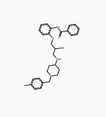 O=C(Nc1ccccc1OCC(O)C[AsH]C1CCN(Cc2ccc(F)cc2)CC1)c1ccccc1